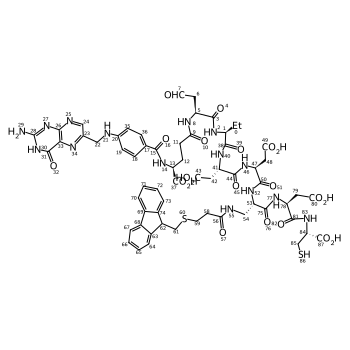 CC[C@H](NC(=O)[C@H](CC=O)NC(=O)CC[C@H](NC(=O)c1ccc(NCc2cnc3nc(N)[nH]c(=O)c3n2)cc1)C(=O)O)C(=O)N[C@@H](CC(=O)O)C(=O)N[C@@H](CC(=O)O)C(=O)N[C@@H](CNC(=O)CCSCC1c2ccccc2-c2ccccc21)C(=O)N[C@@H](CC(=O)O)C(=O)N[C@@H](CS)C(=O)O